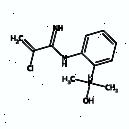 C=C(Cl)C(=N)Nc1ccccc1[PH](C)(C)O